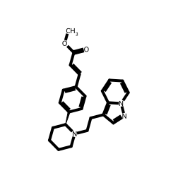 COC(=O)C=Cc1ccc([C@@H]2CCCCN2CCc2cnn3ccccc23)cc1